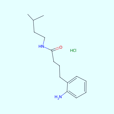 CC(C)CCNC(=O)CCCc1ccccc1N.Cl